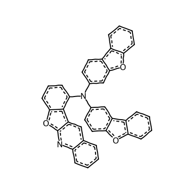 c1ccc2nc3oc4cccc(N(c5ccc6c(c5)oc5ccccc56)c5ccc6oc7ccccc7c6c5)c4c3cc2c1